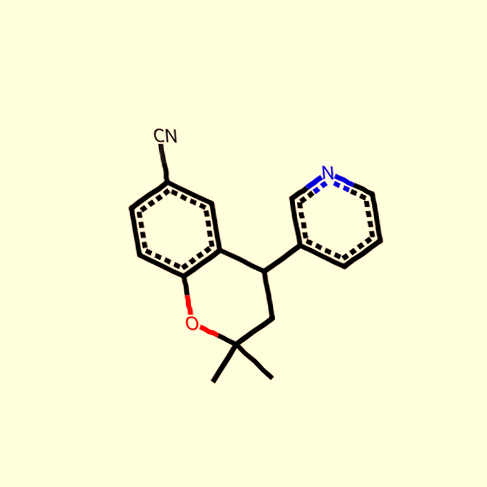 CC1(C)CC(c2cccnc2)c2cc(C#N)ccc2O1